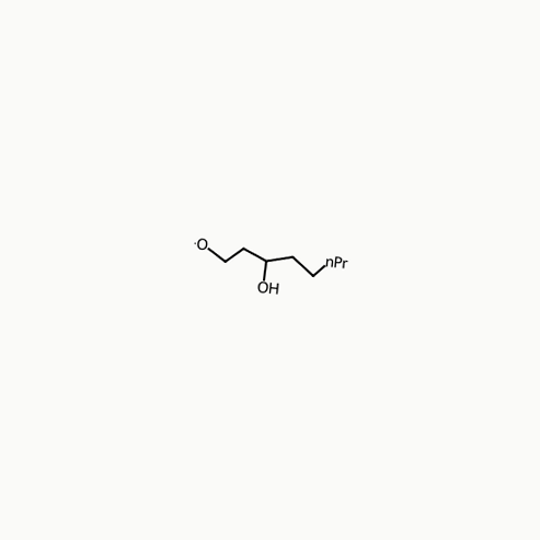 CCCCCC(O)CC[O]